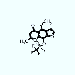 COc1c2ccoc2c(OS(=O)(=O)C(F)(F)F)c2oc(C)cc(=O)c12